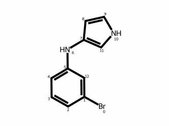 Brc1cccc(Nc2cc[nH]c2)c1